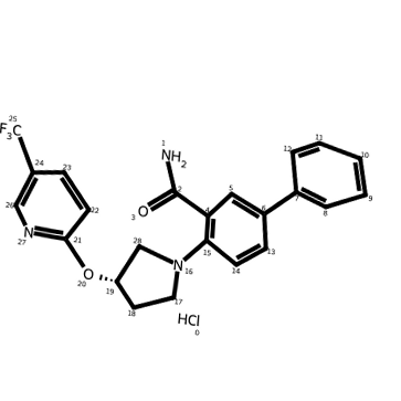 Cl.NC(=O)c1cc(-c2ccccc2)ccc1N1CC[C@H](Oc2ccc(C(F)(F)F)cn2)C1